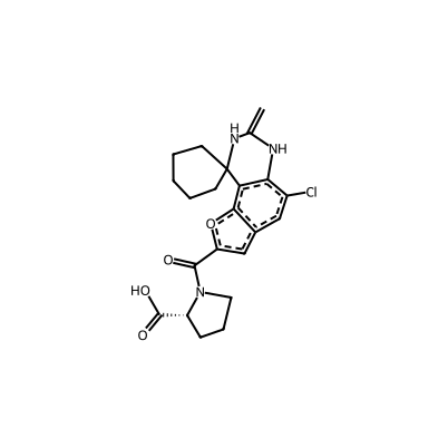 C=C1Nc2c(Cl)cc3cc(C(=O)N4CCC[C@@H]4C(=O)O)oc3c2C2(CCCCC2)N1